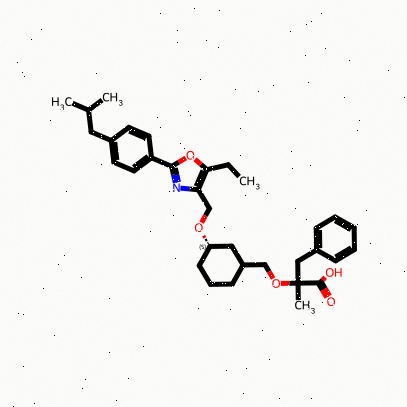 CCc1oc(-c2ccc(CC(C)C)cc2)nc1CO[C@H]1CCCC(COC(C)(Cc2ccccc2)C(=O)O)C1